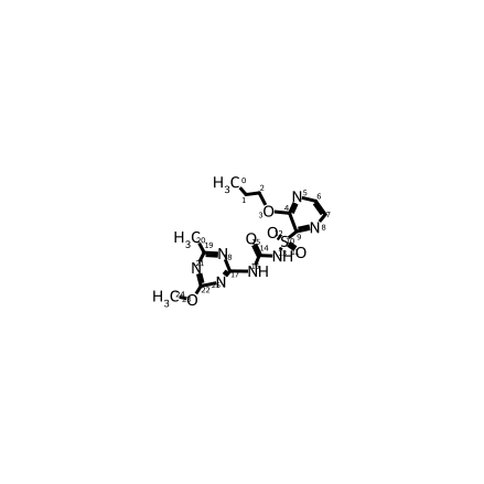 CCCOc1nccnc1S(=O)(=O)NC(=O)Nc1nc(C)nc(OC)n1